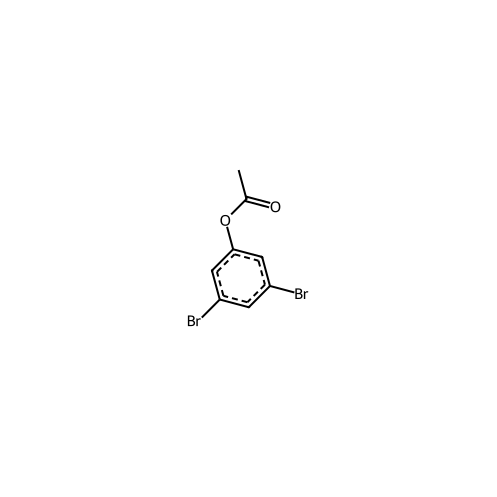 CC(=O)Oc1cc(Br)cc(Br)c1